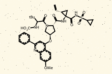 C=C[C@@H]1C[C@]1(NC(=O)[C@@H]1C[C@@H](Oc2cc(-c3ccccc3)nc3cc(OC)ccc23)CN1C(=O)C(NC(=O)O)C(C)(C)C)C(=O)NS(=O)(=O)C1CC1